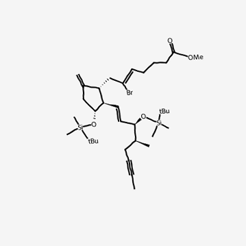 C=C1C[C@@H](O[Si](C)(C)C(C)(C)C)[C@H](/C=C/[C@@H](O[Si](C)(C)C(C)(C)C)[C@@H](C)CC#CC)[C@H]1C/C(Br)=C/CCCC(=O)OC